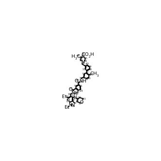 CCc1nc2c(cnn2CC)c(NC2CCOCC2)c1CNC(=O)c1cccc(C(=O)NCc2ccc(C)c(-c3cccc(CN4CCN(C(=O)O)[C@@H](C)C4)c3)c2)c1